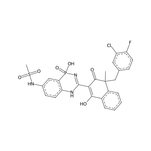 CC1(Cc2ccc(F)c(Cl)c2)C(=O)C(C2=NP(=O)(O)c3cc(NS(C)(=O)=O)ccc3N2)=C(O)c2ccccc21